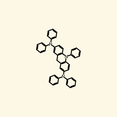 c1ccc(N(c2ccccc2)c2ccc3c(c2)Cc2cc(N(c4ccccc4)c4ccccc4)ccc2N3c2ccccc2)cc1